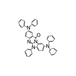 O=c1c2cc(N(c3ccccc3)c3ccccc3)ccc2nc2n(-c3ccccc3)c3ccc(N(c4ccccc4)c4ccccc4)cc3n12